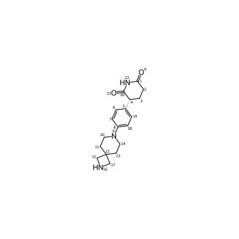 O=C1CC[C@H](c2ccc(N3CCC4(CC3)CNC4)cc2)C(=O)N1